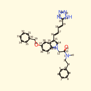 CN(CCc1ccccc1)C(=O)Cn1cc(C=CC=Cc2nnn[nH]2)c2cc(OCc3ccccc3)ccc21